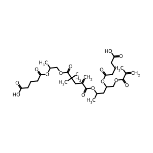 C=C(C)C(=O)OCC(CC(C)OC(=O)C(=C)CC(C)(C)C(=O)OCC(C)OC(=O)CCCC(=O)O)OC(=O)CCCC(=O)O